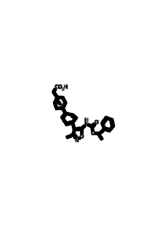 Cc1noc(NC(=O)OC(C)c2ccccc2)c1-c1ccc(C23CCC(CC(=O)O)(CC2)CO3)cc1